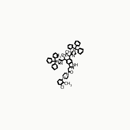 COC(c1cn(C(c2ccccc2)(c2ccccc2)c2ccccc2)cn1)c1cc2[nH]nc(CC(=O)N3CCN(c4cccc(Cl)c4C)CC3)c2cc1C(OC)c1cn(C(c2ccccc2)(c2ccccc2)c2ccccc2)cn1